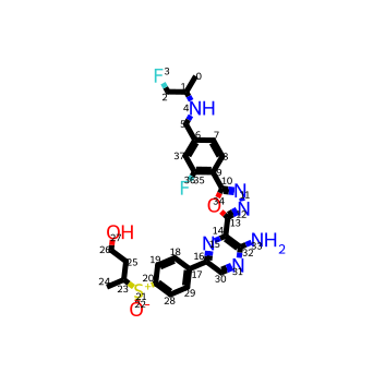 CC(CF)NCc1ccc(-c2nnc(-c3nc(-c4ccc([S+]([O-])C(C)CCO)cc4)cnc3N)o2)c(F)c1